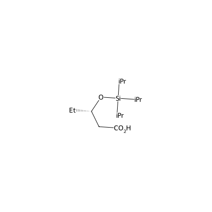 CC[C@@H](CC(=O)O)O[Si](C(C)C)(C(C)C)C(C)C